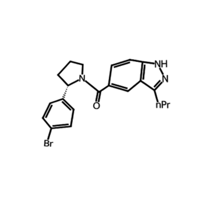 CCCc1n[nH]c2ccc(C(=O)N3CCC[C@H]3c3ccc(Br)cc3)cc12